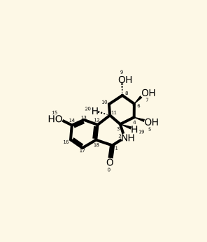 O=C1N[C@H]2[C@H](O)[C@H](O)[C@@H](O)C[C@@H]2c2cc(O)ccc21